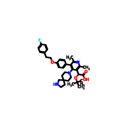 Cc1nc(C)c([C@H](OC(C)(C)C)C(=O)O)c(N2CCC3(CCNC3)CC2)c1-c1ccc(OCCc2ccc(F)cc2)cc1